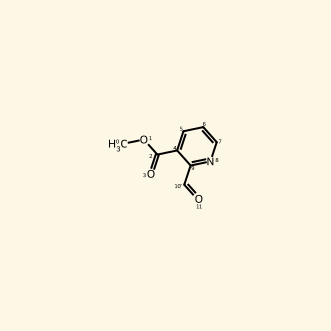 COC(=O)c1cccnc1[C]=O